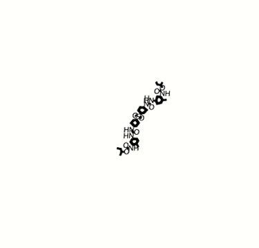 CCC(C)OC(=O)Nc1cc(NC(=O)Nc2ccc(S(=O)(=O)c3ccc(NC(=O)Nc4ccc(C)c(NC(=O)OC(C)CC)c4)cc3)cc2)ccc1C